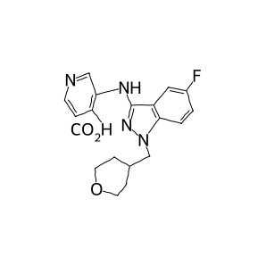 O=C(O)c1ccncc1Nc1nn(CC2CCOCC2)c2ccc(F)cc12